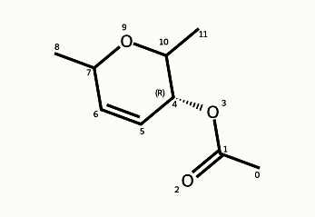 CC(=O)O[C@@H]1C=CC(C)OC1C